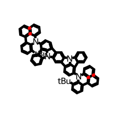 CC(C)(C)c1cccc(-c2ccccc2)c1N(c1ccccc1)c1ccc2c3cc4c(cc3n3c5ccccc5c1c23)c1ccc(N(c2ccccc2)c2c(-c3ccccc3)cccc2C(C)(C)C)c2c3ccccc3n4c12